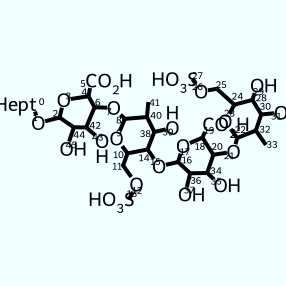 CCCCCCCOC1OC(C(=O)O)C(OC2OC(COS(=O)(=O)O)C(OC3OC(C(=O)O)C(OC4OC(COS(=O)(=O)O)C(O)C(O)C4C)C(O)C3O)C(O)C2C)C(O)C1O